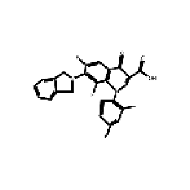 O=C(O)c1cn(-c2ccc(F)cc2F)c2c(F)c(N3Cc4ccccc4C3)c(F)cc2c1=O